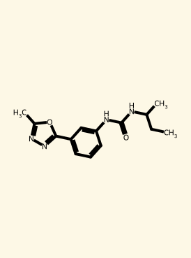 CCC(C)NC(=O)Nc1cccc(-c2nnc(C)o2)c1